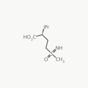 CC(C)[C@@H](CCS(C)(=N)=O)C(=O)O